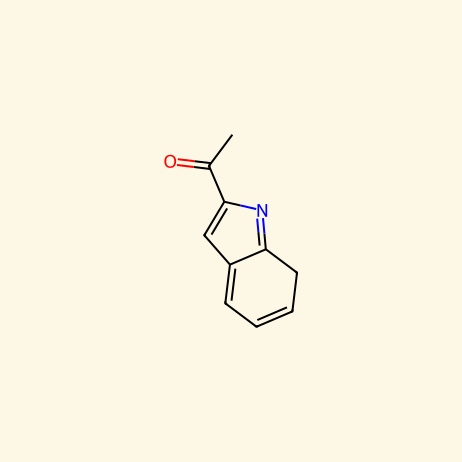 CC(=O)C1=CC2=CC=CCC2=N1